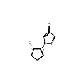 F[C@H]1CCC[C@@H]1n1cc(Br)cn1